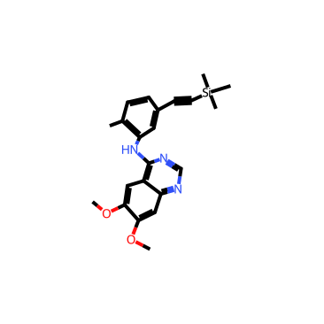 COc1cc2ncnc(Nc3cc(C#C[Si](C)(C)C)ccc3C)c2cc1OC